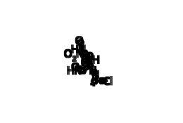 CC1(C)CCC(CN2CCN(c3ccc(C(=O)NS(=O)(=O)c4ccc(NCC5CCOCC5)c([N+](=O)[O-])c4)c(Oc4cccc5c4CC(=O)N5)c3)CC2)=C(c2ccc(Cl)cc2)C1